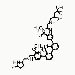 COc1nc(-c2cccc(-c3cccc(-c4cc5c(=O)n(C)c(CNCC(O)CC(=O)O)nn5c4)c3Cl)c2Cl)ccc1CNC[C@H]1CCC(=O)N1